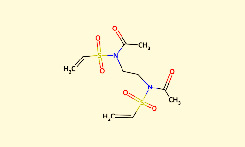 C=CS(=O)(=O)N(CCN(C(C)=O)S(=O)(=O)C=C)C(C)=O